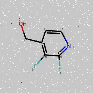 OCc1ccnc(F)c1F